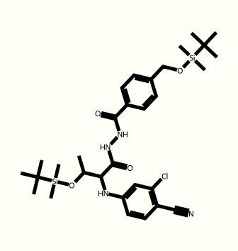 CC(O[Si](C)(C)C(C)(C)C)C(Nc1ccc(C#N)c(Cl)c1)C(=O)NNC(=O)c1ccc(CO[Si](C)(C)C(C)(C)C)cc1